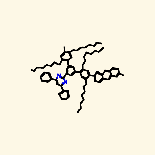 CCCCCCCCc1cc(-c2cc(-c3nc(-c4ccccc4)cc(-c4ccccc4)n3)cc(-c3cc(CCCCCCCC)c(-c4ccc5cc6cc(C)ccc6cc5c4)cc3CCCCCCCC)c2)c(CCCCCCCC)cc1C